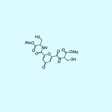 COC(=O)C(CS)NC(=O)c1cc(=O)cc(C(=O)NC(CS)C(=O)OC)o1